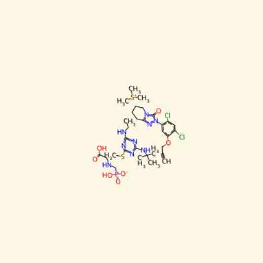 C#CCOc1cc(-n2nc3n(c2=O)CCCC3)c(Cl)cc1Cl.CCNc1nc(NC(C)(C)C)nc(SC)n1.C[S+](C)C.O=C(O)CNCP(=O)([O-])O